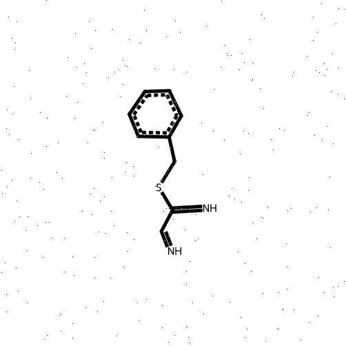 N=CC(=N)SCc1ccccc1